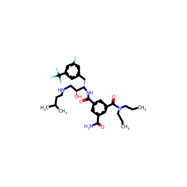 CCCN(CCC)C(=O)c1cc(C(N)=O)cc(C(=O)N[C@@H](Cc2cc(F)cc(C(F)(F)F)c2)[C@H](O)CNCCC(C)C)c1